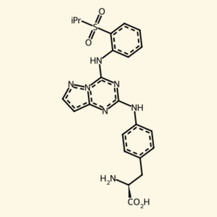 CC(C)S(=O)(=O)c1ccccc1Nc1nc(Nc2ccc(C[C@H](N)C(=O)O)cc2)nc2ccnn12